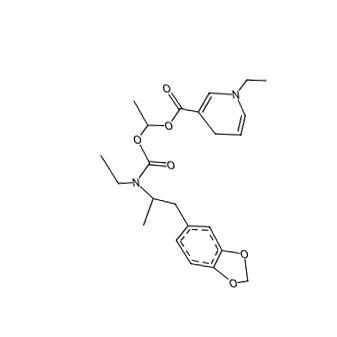 CCN1C=CCC(C(=O)OC(C)OC(=O)N(CC)C(C)Cc2ccc3c(c2)OCO3)=C1